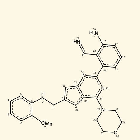 COc1ccccc1NCc1cc2nc(-c3cccc(N)c3C=N)nc(N3CCOCC3)c2s1